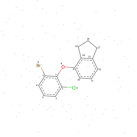 Clc1cccc(Br)c1Oc1cccc2c1CCC2